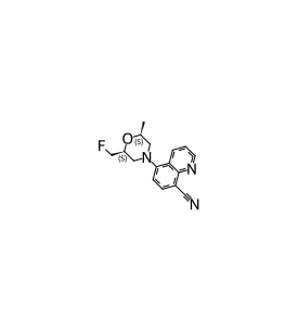 C[C@H]1CN(c2ccc(C#N)c3ncccc23)C[C@@H](CF)O1